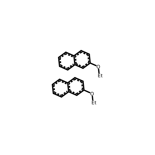 CCOc1ccc2ccccc2c1.CCOc1ccc2ccccc2c1